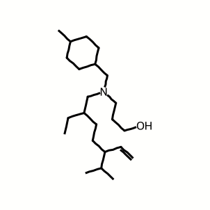 C=CC(CCC(CC)CN(CCCO)CC1CCC(C)CC1)C(C)C